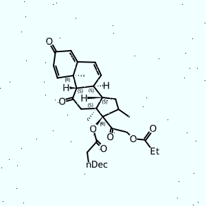 CCCCCCCCCCCC(=O)O[C@]1(C(=O)COC(=O)CC)C(C)C[C@H]2[C@@H]3C=CC4=CC(=O)C=C[C@]4(C)[C@H]3C(=O)C[C@@]21C